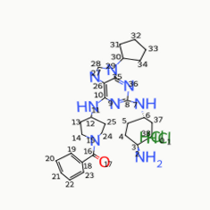 Cl.Cl.N[C@H]1CC[C@H](Nc2nc(NC3CCN(C(=O)c4ccccc4)CC3)c3ncn(C4CCCC4)c3n2)CC1